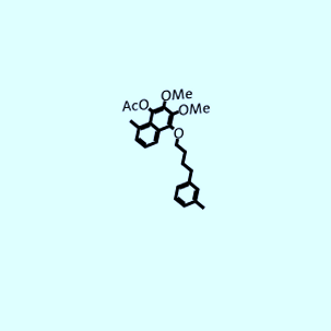 COc1c(OC)c(OC(C)=O)c2c(C)cccc2c1OCCCCc1cccc(C)c1